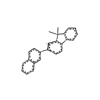 CC1(C)c2[c]c(-c3ccc4ccccc4c3)ccc2-c2ccccc21